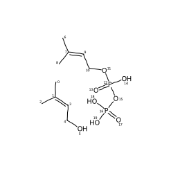 CC(C)=CCO.CC(C)=CCOP(=O)(O)OP(=O)(O)O